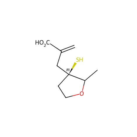 C=C(C[C@@]1(S)CCOC1C)C(=O)O